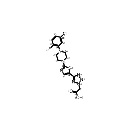 O=C(O)Cn1nnc(-c2cnc(N3CCN(c4cc(Cl)ccc4F)CC3)s2)n1